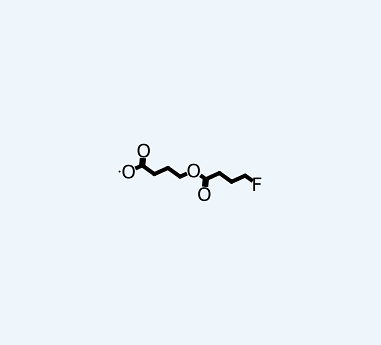 [O]C(=O)CCCOC(=O)CCCF